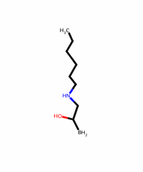 BC(O)CNCCCCCC